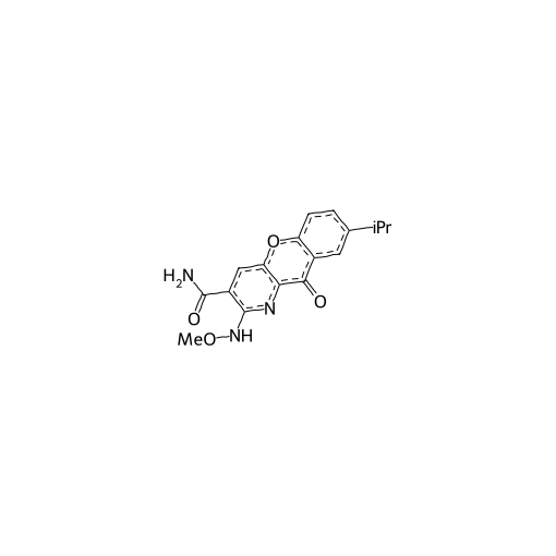 CONc1nc2c(=O)c3cc(C(C)C)ccc3oc2cc1C(N)=O